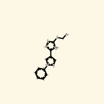 CC(=O)CSc1nnc(-c2cnn(-c3ccccc3)c2)[nH]1